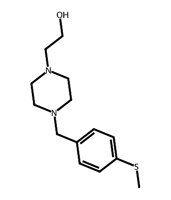 CSc1ccc(CN2CCN(CCO)CC2)cc1